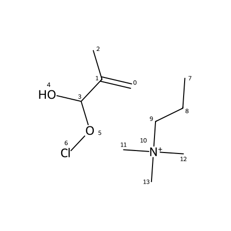 C=C(C)C(O)OCl.CCC[N+](C)(C)C